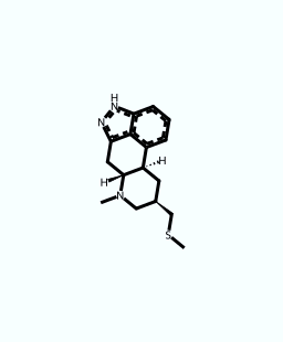 CSC[C@@H]1C[C@@H]2c3cccc4[nH]nc(c34)C[C@H]2N(C)C1